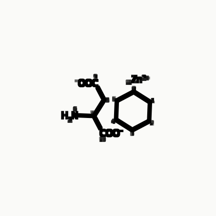 C1CCCCC1.NC(CC(=O)[O-])C(=O)[O-].[Zn+2]